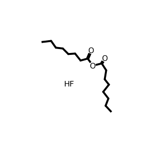 CCCCCCCC(=O)OC(=O)CCCCCCC.F